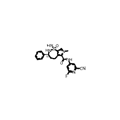 Cn1cc2c(c1C(=O)Nc1cc(F)nc(C#N)c1)CC[C@@H](c1ccccc1)NS2(=N)=O